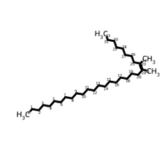 CCCCCCCCCCCCCCCCCCCCCC(C)=C(C)CCCCCCCC